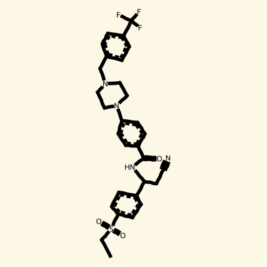 CCS(=O)(=O)c1ccc(C(CC#N)NC(=O)c2ccc(N3CCN(Cc4ccc(C(F)(F)F)cc4)CC3)cc2)cc1